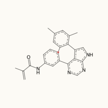 C=C(C)C(=O)Nc1cccc(-c2ncnc3[nH]cc(-c4c(C)cc(C)cc4C)c23)c1